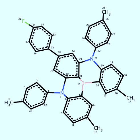 Cc1ccc(N2c3ccc(C)cc3B3c4cc(C)ccc4N(c4ccc(C)cc4)c4cc(-c5ccc(F)cc5)cc2c43)cc1